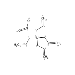 C=CC[N+](CC=C)(CC=C)CC=C.O=N[O-]